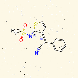 CS(=O)(=O)/N=C1\SC=C\C1=C(\C#N)c1ccccc1